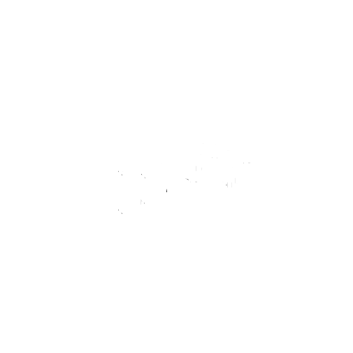 CCC(C)(C[C@H]1O[C@@H](n2cnc3c(=O)[nH]cnc32)[C@H](O)[C@@H]1O)OP(=O)(O)C(O)(CC)CC